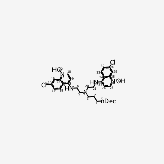 CCCCCCCCCCCCCN(CCNc1cc[n+](O)c2cc(Cl)ccc12)CCNc1cc[n+](O)c2cc(Cl)ccc12